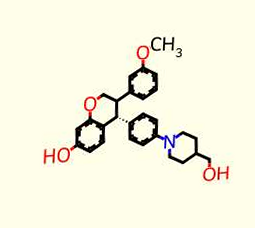 COc1cccc(C2COc3cc(O)ccc3[C@H]2c2ccc(N3CCC(CO)CC3)cc2)c1